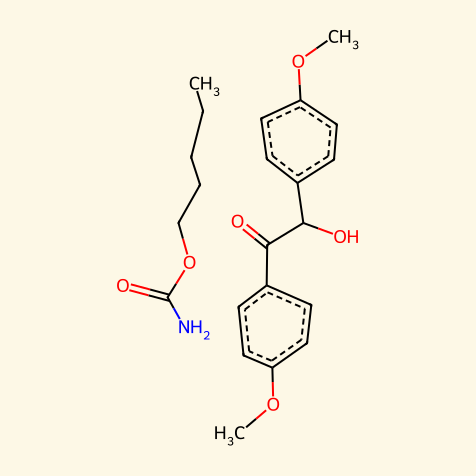 CCCCCOC(N)=O.COc1ccc(C(=O)C(O)c2ccc(OC)cc2)cc1